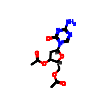 CC(=O)OC[C@H]1O[C@H](n2cnc(N)nc2=O)CC1OC(C)=O